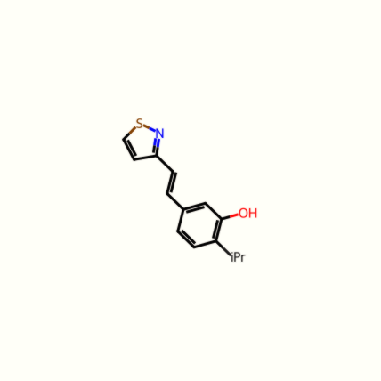 CC(C)c1ccc(/C=C/c2ccsn2)cc1O